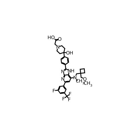 COCC1(CN(C)c2cc(-c3cc(F)cc(C(F)(F)F)c3)nc3nc(-c4ccc(C5(O)CCN(CC(=O)O)CC5)cc4)[nH]c23)CCC1